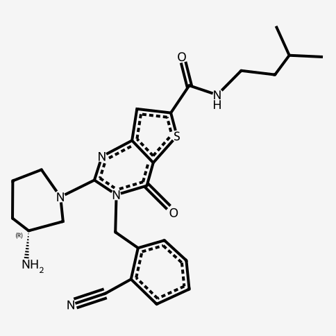 CC(C)CCNC(=O)c1cc2nc(N3CCC[C@@H](N)C3)n(Cc3ccccc3C#N)c(=O)c2s1